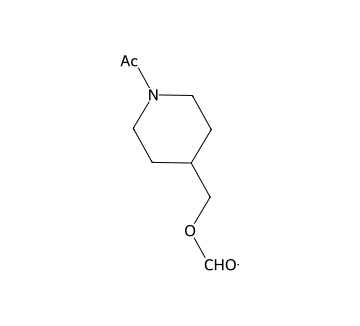 CC(=O)N1CCC(CO[C]=O)CC1